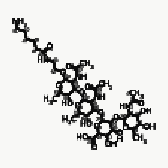 CC(=O)NC1C(O)[C@H](O)C(C)O[C@H]1OC1C(O)[C@H](O)C(C(=O)O)O[C@H]1OC1C(NC(C)=O)[C@H](OC2C(NC(C)=O)[C@H](OCCNC(=O)CCCCCN)OC(C)[C@@H]2O)OC(C)[C@H]1O